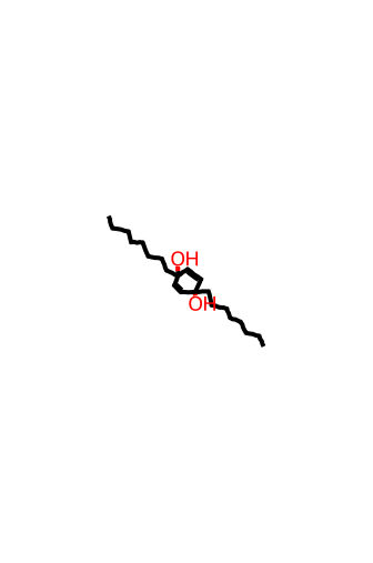 CCCCCCCCC1(O)C=CC(O)(CCCCCCCC)C=C1